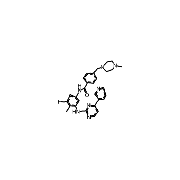 Cc1c(F)cc(NC(=O)c2ccc(CN3CCN(C)CC3)cc2)cc1Nc1nccc(-c2cccnc2)n1